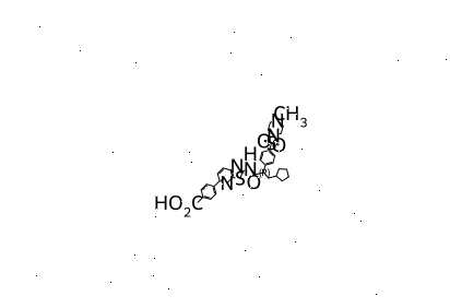 CN1CCN(S(=O)(=O)c2ccc([C@@H](CC3CCCC3)C(=O)Nc3nc4ccc(-c5ccc(C(=O)O)cc5)nc4s3)cc2)CC1